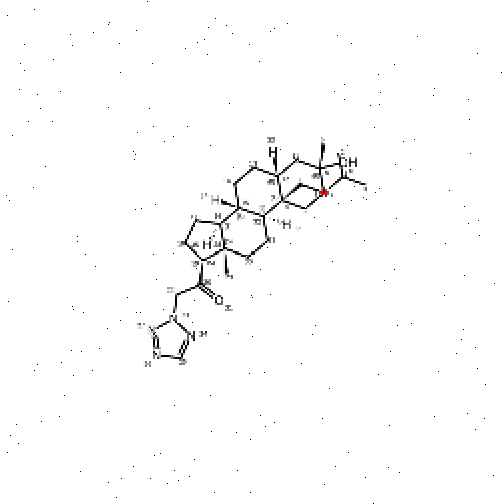 CC(C)OC[C@]12CC[C@@](C)(O)C[C@H]1CC[C@H]1[C@@H]3CC[C@H](C(=O)Cn4ncnn4)[C@@]3(C)CC[C@@H]12